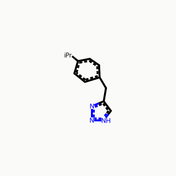 CC(C)c1ccc(Cc2c[nH]nn2)cc1